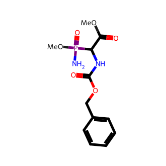 COC(=O)C(NC(=O)OCc1ccccc1)P(N)(=O)OC